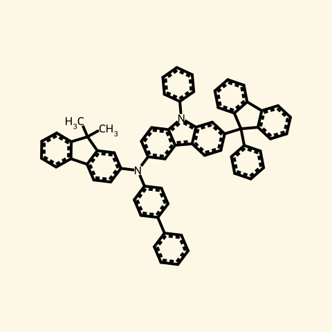 CC1(C)c2ccccc2-c2ccc(N(c3ccc(-c4ccccc4)cc3)c3ccc4c(c3)c3ccc(C5(c6ccccc6)c6ccccc6-c6ccccc65)cc3n4-c3ccccc3)cc21